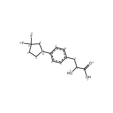 O=C(O)C(O)Cc1ccc(N2CCC(F)(F)C2)cc1